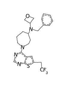 FC(F)(F)Cc1cc2c(N3CCCC(N(Cc4ccccc4)C4COC4)CC3)ncnc2s1